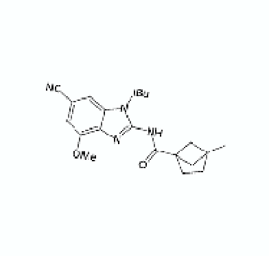 COc1cc(C#N)cc2c1nc(NC(=O)C13CCC(C)(C1)C3)n2C(C)(C)C